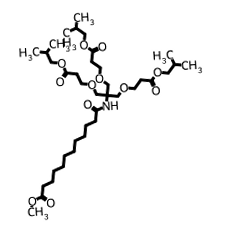 COC(=O)CCCCCCCCCCC(=O)NC(COCCC(=O)OCC(C)C)(COCCC(=O)OCC(C)C)COCCC(=O)OCC(C)C